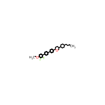 C=CCCC1CCC(C2CCC(c3ccc(-c4ccc(-c5ccc(OCC)c(F)c5F)cc4)cc3)OC2)CC1